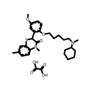 COc1ccc(OCCCCCN(C)C2CCCCC2)c(C2Sc3cc(C)ccc3N(C)C2=O)c1.O=C(O)C(=O)O